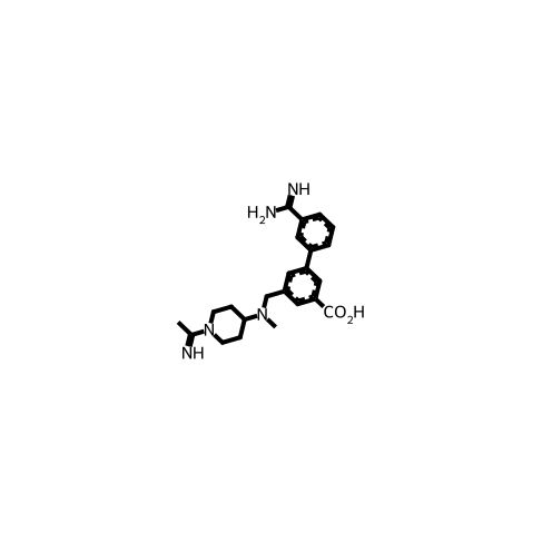 CC(=N)N1CCC(N(C)Cc2cc(C(=O)O)cc(-c3cccc(C(=N)N)c3)c2)CC1